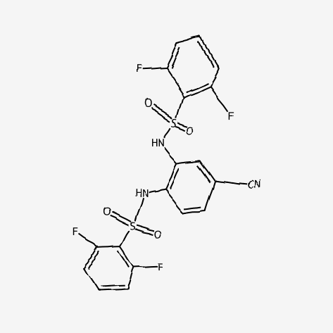 N#Cc1ccc(NS(=O)(=O)c2c(F)cccc2F)c(NS(=O)(=O)c2c(F)cccc2F)c1